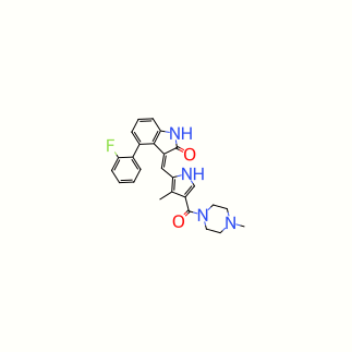 Cc1c(C(=O)N2CCN(C)CC2)c[nH]c1C=C1C(=O)Nc2cccc(-c3ccccc3F)c21